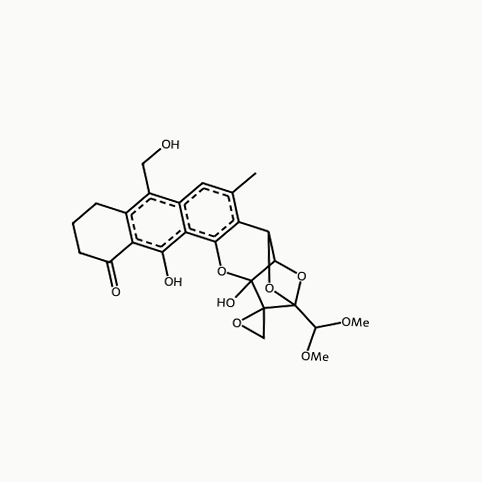 COC(OC)C12OC3c4c(C)cc5c(CO)c6c(c(O)c5c4OC(O)(C3O1)C21CO1)C(=O)CCC6